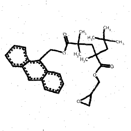 CC(C)(C)CC(C)(CC(C)(C)C(=O)OCc1c2ccccc2cc2ccccc12)C(=O)OCC1CO1